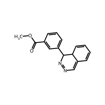 COC(=O)c1cccc(C2N=NC=C3C=CC=CC32)c1